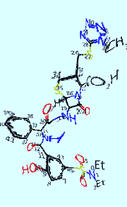 CCN(CC)S(=O)(=O)c1ccc(O)c(C(=O)N[C@H](C(=O)NC2C(=O)N3C(C(=O)O)=C(CSc4nnnn4C)CS[C@@H]23)c2ccccc2)c1